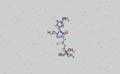 Cc1nn(CC(F)CO[Si](C)(C)C(C)(C)C)c(=O)n1-c1ccn(C)n1